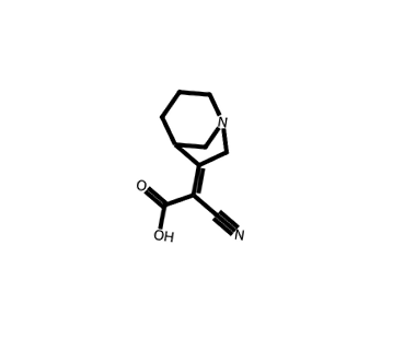 N#C/C(C(=O)O)=C1\CN2CCCC1C2